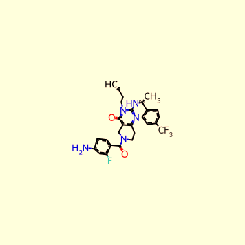 C#CCCn1c(N[C@@H](C)c2ccc(C(F)(F)F)cc2)nc2c(c1=O)CN(C(=O)c1ccc(N)cc1F)CC2